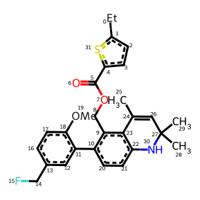 CCc1ccc(C(=O)OCc2c(-c3cc(CF)ccc3OC)ccc3c2C(C)=CC(C)(C)N3)s1